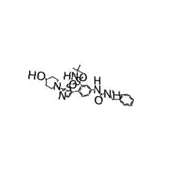 CC(C)(C)NS(=O)(=O)c1cc(NC(=O)NCc2ccccc2)ccc1-c1cnc(N2CCC(O)CC2)s1